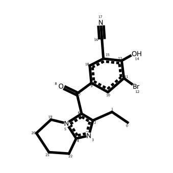 CCc1nc2n(c1C(=O)c1cc(Br)c(O)c(C#N)c1)CCCC2